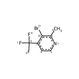 Cc1nccc(C(F)(F)F)c1Br